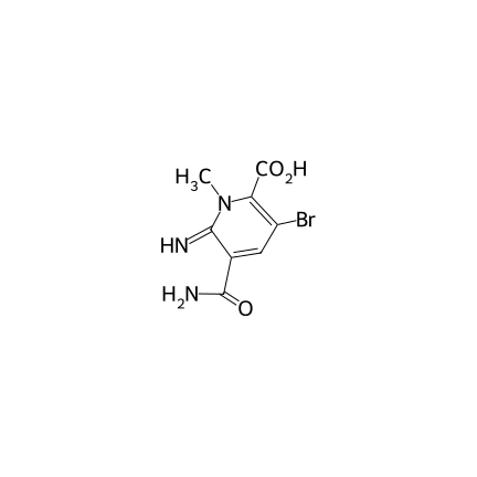 Cn1c(C(=O)O)c(Br)cc(C(N)=O)c1=N